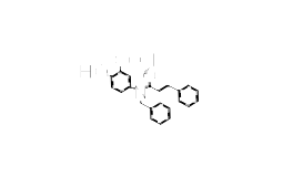 O=C(O)c1cc(N(Cc2ccccc2)C(=O)/C=C/c2ccccc2)ccc1O